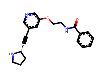 O=C(NCCOc1cncc(C#C[C@@H]2CCCN2)c1)c1ccccc1